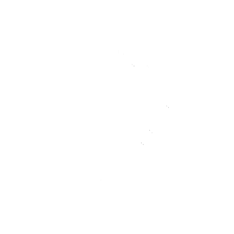 CC(c1cc(F)cc(C(F)(F)F)c1)c1cnnc(-c2nccc3c2CCN(C)C3=O)c1